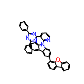 c1ccc(-c2nc(-c3ccccc3)nc(-c3cccnc3-n3c4ccccc4c4cc(-c5cccc6c5oc5ccccc56)ccc43)n2)cc1